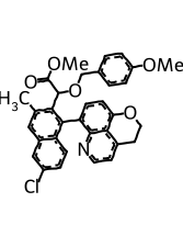 COC(=O)C(OCc1ccc(OC)cc1)c1c(C)cc2cc(Cl)ccc2c1-c1ccc2c3c(ccnc13)CCO2